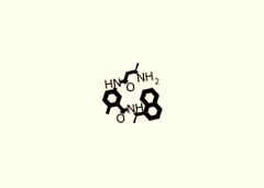 Cc1ccc(NC(=O)C[C@@H](C)N)cc1C(=O)N[C@H](C)c1cccc2ccccc12